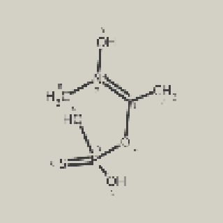 CC(OP(O)(O)=S)=[N+](C)O